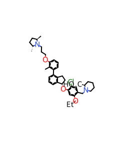 CCOc1cc(O[C@H]2CCc3c(-c4cccc(OCCCN5[C@H](C)CC[C@H]5C)c4C)cccc32)c(Cl)cc1CN1CCCC[C@@H]1C(=O)O